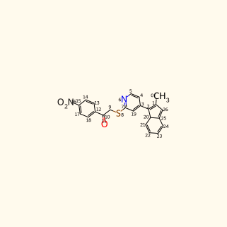 CC1=C(c2ccnc(SCC(=O)c3ccc([N+](=O)[O-])cc3)c2)C2C=CC=CC2=C1